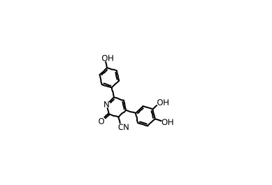 N#CC1C(=O)N=C(c2ccc(O)cc2)C=C1c1ccc(O)c(O)c1